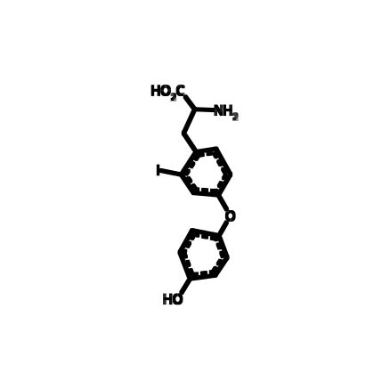 NC(Cc1ccc(Oc2ccc(O)cc2)cc1I)C(=O)O